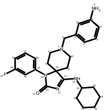 Nc1cccc(CN2CCC3(CC2)C(NC2CCCCC2)=NC(=O)N3c2cccc(F)c2)c1